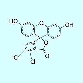 O=C1OC2(c3ccc(O)cc3Oc3cc(O)ccc32)c2c[c]c(Cl)c(Cl)c21